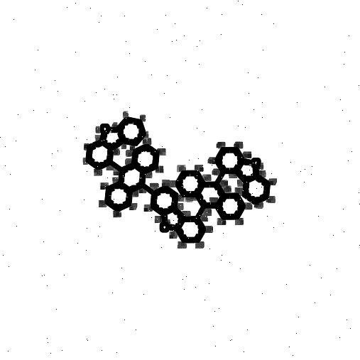 c1ccc2c(c1)oc1cccc(-c3c4ccccc4c(-c4ccc5c(c4)oc4cccc(-c6c7ccccc7c(-c7cccc8oc9ccccc9c78)c7ccccc67)c45)c4ccccc34)c12